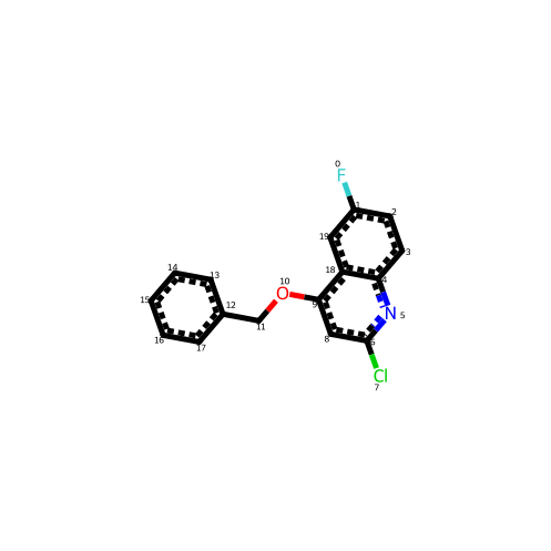 Fc1ccc2nc(Cl)cc(OCc3ccccc3)c2c1